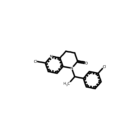 CC(c1cccc(Cl)c1)N1C(=O)CCc2nc(Cl)ccc21